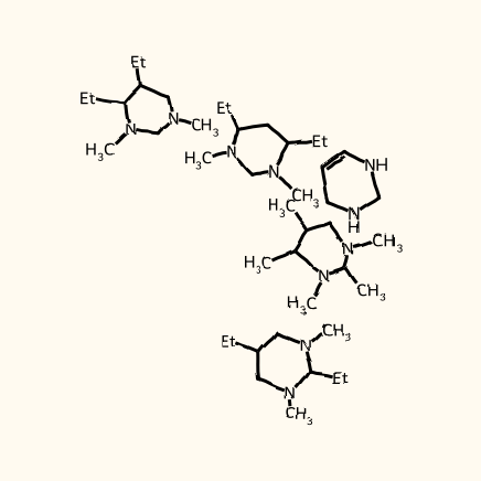 C1=CNCNC1.CC1CN(C)C(C)N(C)C1C.CCC1CC(CC)N(C)CN1C.CCC1CN(C)C(CC)N(C)C1.CCC1CN(C)CN(C)C1CC